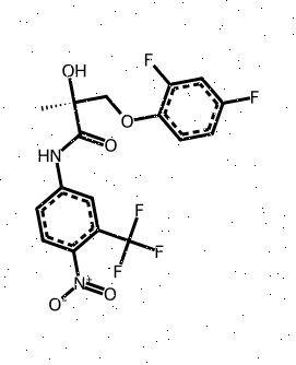 C[C@](O)(COc1ccc(F)cc1F)C(=O)Nc1ccc([N+](=O)[O-])c(C(F)(F)F)c1